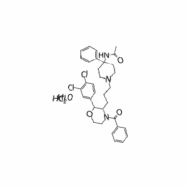 CC(=O)NC1(c2ccccc2)CCN(CCCC2C(c3ccc(Cl)c(Cl)c3)OCCN2C(=O)c2ccccc2)CC1.Cl.O